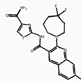 NC(=O)c1csc(NC(=O)c2cc3ccc(F)cc3nc2N2CCCC(F)(F)CC2)n1